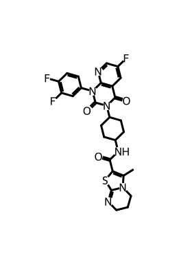 CC1=C(C(=O)NC2CCC(n3c(=O)c4cc(F)cnc4n(-c4ccc(F)c(F)c4)c3=O)CC2)SC2=NCCCN21